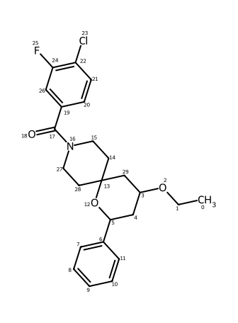 CCOC1CC(c2ccccc2)OC2(CCN(C(=O)c3ccc(Cl)c(F)c3)CC2)C1